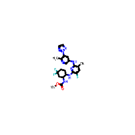 Cc1ncc(Nc2nc(NC3CCC(F)(F)CC3NC(=O)OC(C)(C)C)c(F)cc2C#N)cc1-n1nccn1